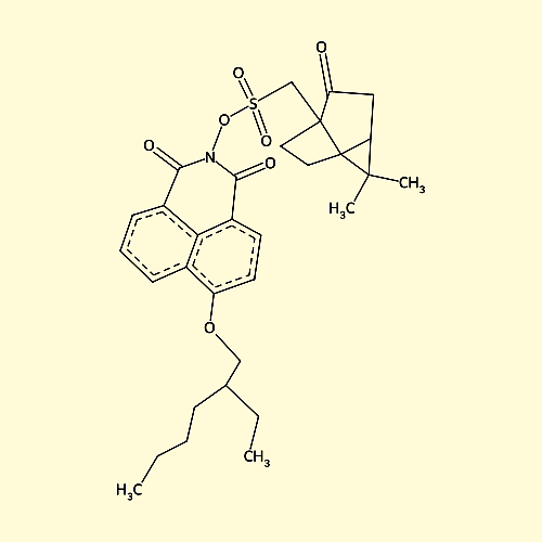 CCCCC(CC)COc1ccc2c3c(cccc13)C(=O)N(OS(=O)(=O)CC13CCC14C(CC3=O)C4(C)C)C2=O